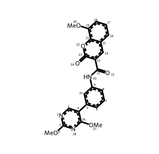 COc1ncc(-c2cccc(NC(=O)c3cc4cccc(OC)c4oc3=O)c2)c(OC)n1